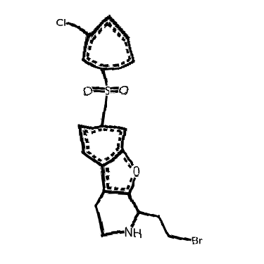 O=S(=O)(c1cccc(Cl)c1)c1ccc2c3c(oc2c1)C(CCBr)NCC3